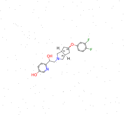 Oc1ccc(C(O)CN2C[C@H]3C[C@@H](Oc4ccc(F)c(F)c4)C[C@H]3C2)nc1